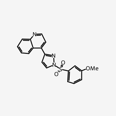 COc1cccc(S(=O)(=O)n2ccc(-c3ccnc4ccccc34)n2)c1